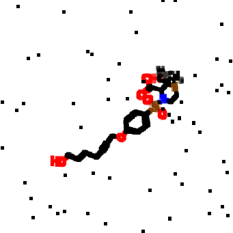 CC1(C)SCCN(S(=O)(=O)c2ccc(OCC#CCCCCO)cc2)[C@H]1C(=O)O